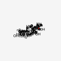 CCCC[C@@H](C(=O)N1CCCC[C@@H]1C(=O)N[C@H](C=O)CC(=O)O)N(C)C(=O)[C@H](Cc1ccccc1)N(C)C(=O)[C@H](Cc1ccccc1)NC(=O)CSC[C@H](NC(=O)[C@H](CC(C)C)NC(=O)[C@H](Cc1ccc(O)cc1)NC(=O)[C@H](Cc1c[nH]c2ccccc12)NC(=O)CN(C)C(=O)[C@H](Cc1ccc(O)cc1)NC(=O)C(Cc1ccccc1)N(C)C(=O)[C@H](C)N)C(=O)NCC(N)=O